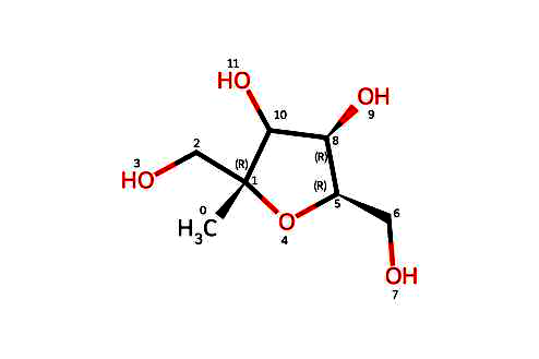 C[C@]1(CO)O[C@H](CO)[C@H](O)C1O